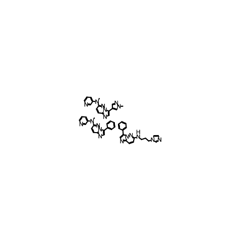 CN(c1cccnc1)c1ccc2ncc(-c3ccccc3)n2n1.CN(c1cccnc1)c1ccc2ncc(-c3cnn(C)c3)n2n1.c1ccc(-c2cnc3ccc(NCCCn4ccnc4)nn23)cc1